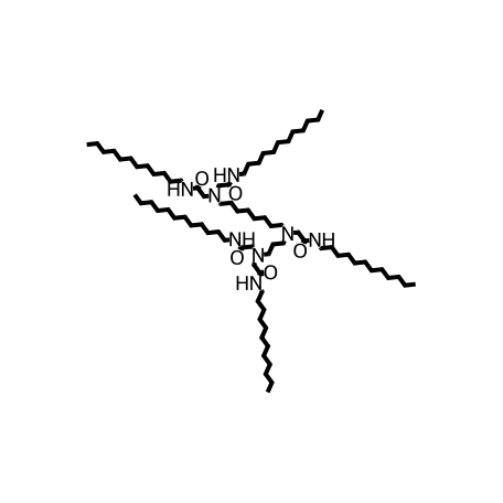 CCCCCCCCCCCCNC(=O)CN(CCCCCCCCN(CC(=O)NCCCCCCCCCCCC)CC(=O)NCCCCCCCCCCCC)CCCN(CC(=O)NCCCCCCCCCCCC)CC(=O)NCCCCCCCCCCCC